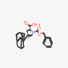 O=C(O)[C@@H]1C[C@H](C23CC4CC(CC(C4)C2)C3)CN1C(=O)OCc1ccccc1